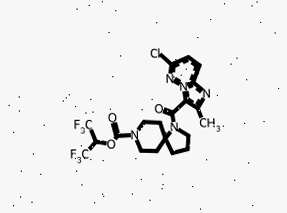 Cc1nc2ccc(Cl)nn2c1C(=O)N1CCCC12CCN(C(=O)OC(C(F)(F)F)C(F)(F)F)CC2